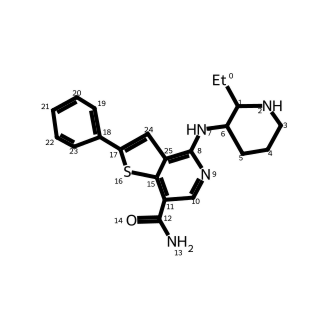 CCC1NCCCC1Nc1ncc(C(N)=O)c2sc(-c3ccccc3)cc12